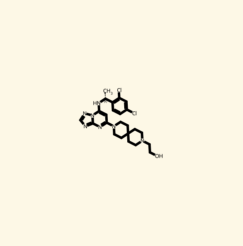 C[C@@H](Nc1cc(N2CCC3(CCN(CCO)CC3)CC2)nc2ncnn12)c1ccc(Cl)cc1Cl